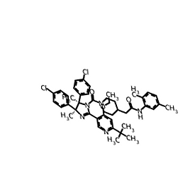 CCOc1cc(C(C)(C)C)ncc1C1=N[C@@](C)(c2ccc(Cl)cc2)[C@@](C)(c2ccc(Cl)cc2)N1C(=O)N1CCC(CC(=O)Nc2cc(C)ccc2C)CC1